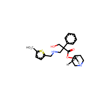 O=C(O)c1ccc(CNCC(CO)(C(=O)O[C@H]2CN3CCC2CC3)c2ccccc2)s1